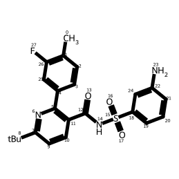 Cc1ccc(-c2nc(C(C)(C)C)ccc2C(=O)NS(=O)(=O)c2cccc(N)c2)cc1F